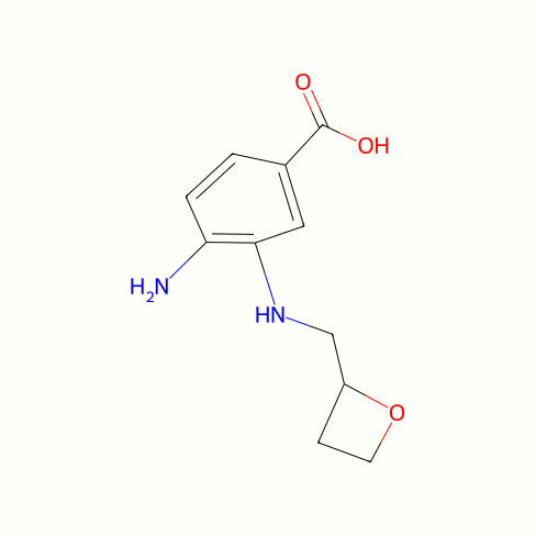 Nc1ccc(C(=O)O)cc1NCC1CCO1